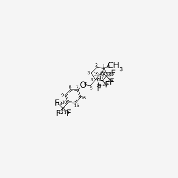 CC12CCC(COc3ccc(C(F)(F)F)cc3)(CC1)C(F)(F)C2(F)F